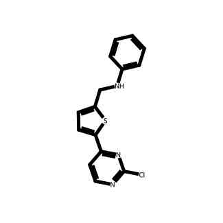 Clc1nccc(-c2ccc(CNc3ccccc3)s2)n1